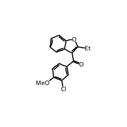 CCc1oc2ccccc2c1C(=O)c1ccc(OC)c(Cl)c1